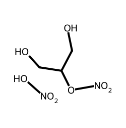 O=[N+]([O-])O.O=[N+]([O-])OC(CO)CO